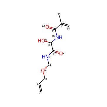 C=CCOCNC(=O)C(O)NC(=O)C(=C)C